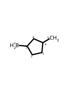 BC1CCC(C)C1